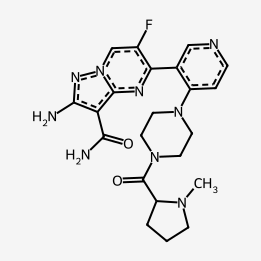 CN1CCCC1C(=O)N1CCN(c2ccncc2-c2nc3c(C(N)=O)c(N)nn3cc2F)CC1